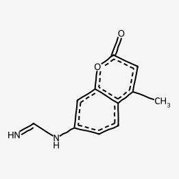 Cc1cc(=O)oc2cc(NC=N)ccc12